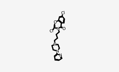 O=C1c2ccc(Cl)cc2OC=C(Cl)N1CCCCN1CCN(c2ccccn2)CC1